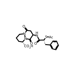 CC(=O)S[C@H](Cc1ccccc1)C(=O)NC1CC(=O)N2CCC[C@@H](C(=O)O)N2C1=O